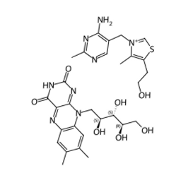 Cc1cc2nc3c(=O)[nH]c(=O)nc-3n(C[C@H](O)[C@H](O)[C@H](O)CO)c2cc1C.Cc1ncc(C[n+]2csc(CCO)c2C)c(N)n1